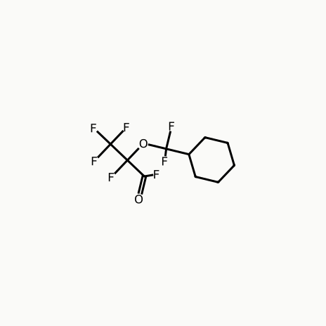 O=C(F)C(F)(OC(F)(F)C1CCCCC1)C(F)(F)F